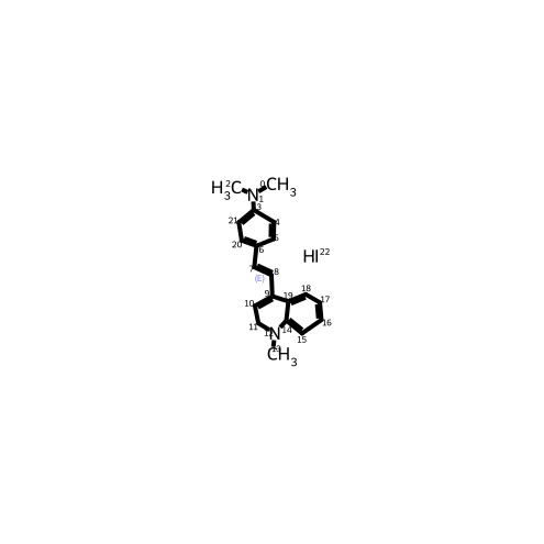 CN(C)c1ccc(/C=C/C2=CCN(C)c3ccccc32)cc1.I